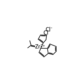 C[C](C)=[Zr+2][C]1(C2=CC=CC2)C=Cc2ccccc21.[Cl-].[Cl-]